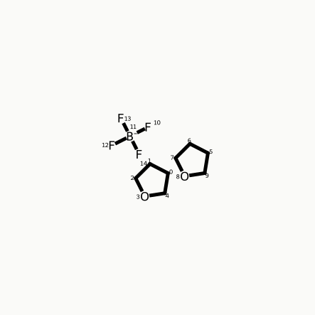 C1CCOC1.C1CCOC1.F[B-](F)(F)F